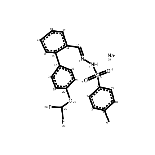 Cc1ccc(S(=O)(=O)NN=Cc2ccccc2-c2ccc(OC(F)F)cc2)cc1.[Na]